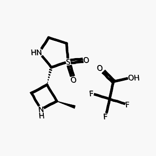 C[C@H]1NC[C@@H]1C1NCCS1(=O)=O.O=C(O)C(F)(F)F